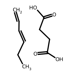 C=CC=CCC.O=C(O)CCC(=O)O